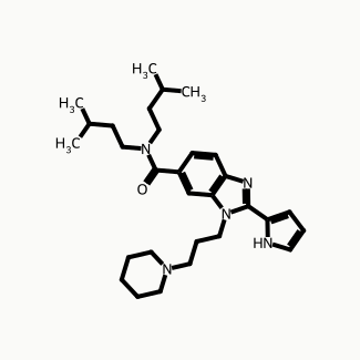 CC(C)CCN(CCC(C)C)C(=O)c1ccc2nc(-c3ccc[nH]3)n(CCCN3CCCCC3)c2c1